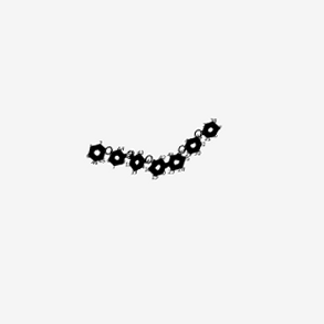 c1ccc(Oc2cccc(Oc3cccc(Oc4cccc(-c5cccc(Oc6cccc(Oc7ccccc7)c6)c5)c4)c3)c2)cc1